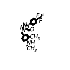 CCNc1ccc(CN2N=NN(c3ccc(C(F)(F)F)cc3)C2C=O)cc1C